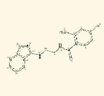 Cc1cc(Br)ccc1C(=O)NCCNc1nsc2ccccc12